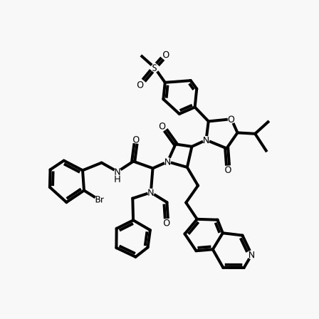 CC(C)C1OC(c2ccc(S(C)(=O)=O)cc2)N(C2C(=O)N(C(C(=O)NCc3ccccc3Br)N(C=O)Cc3ccccc3)C2CCc2ccc3ccncc3c2)C1=O